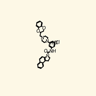 Cl.Cl.O=C(Nc1cccc(N2CCN(CC3COc4ccccc4O3)CC2)c1)N1CCc2c1ccc1ccccc21